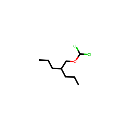 CCCC(CCC)COC(Cl)Cl